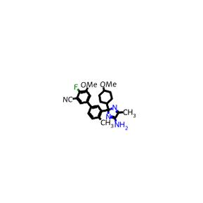 COc1cc(-c2ccc(C)c(C3(C4CCC(OC)CC4)N=C(C)C(N)=N3)c2)cc(C#N)c1F